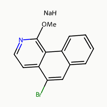 COc1nccc2c(Br)cc3ccccc3c12.[NaH]